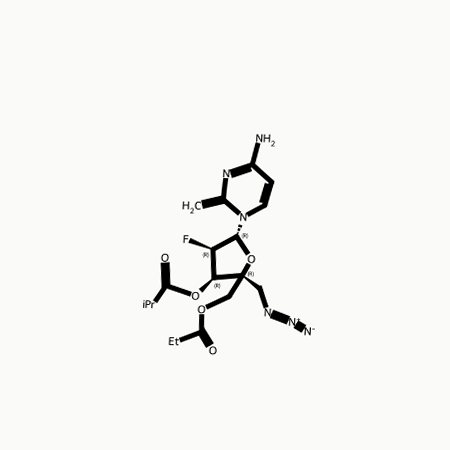 C=C1N=C(N)C=CN1[C@@H]1O[C@](CN=[N+]=[N-])(COC(=O)CC)[C@@H](OC(=O)C(C)C)[C@H]1F